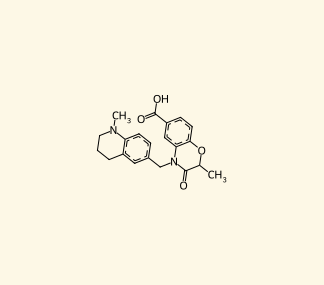 CC1Oc2ccc(C(=O)O)cc2N(Cc2ccc3c(c2)CCCN3C)C1=O